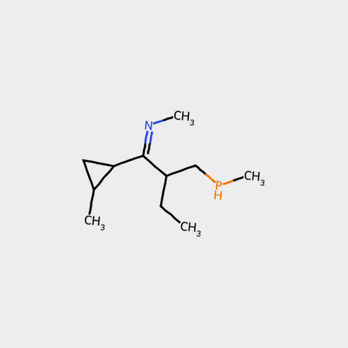 CCC(CPC)/C(=N\C)C1CC1C